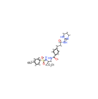 CCOC(=O)[C@H](CNC(=O)c1ccc(CCC(=O)NC2=NCCCN2)cc1)NS(=O)(=O)c1ccc(C(C)(C)C)cc1